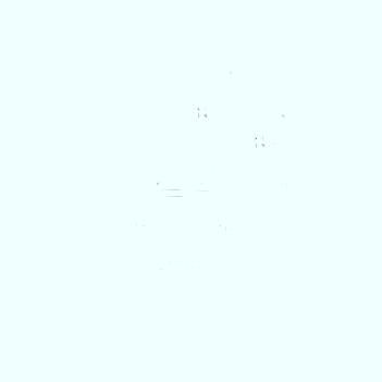 Cc1cccc(C2=NCCN2C)c1